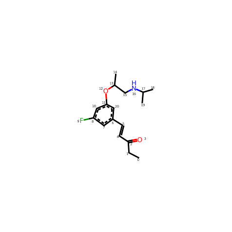 CCC(=O)/C=C/c1cc(F)cc(OC(C)CNC(C)C)c1